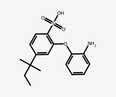 CCC(C)(C)c1ccc(S(=O)(=O)O)c(Oc2ccccc2N)c1